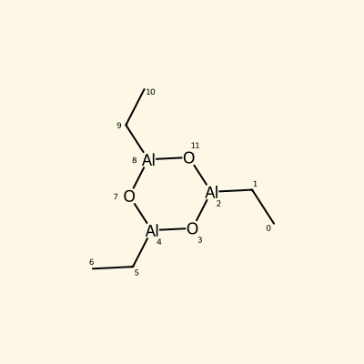 C[CH2][Al]1[O][Al]([CH2]C)[O][Al]([CH2]C)[O]1